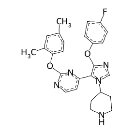 Cc1ccc(Oc2nccc(-c3c(Oc4ccc(F)cc4)ncn3C3CCNCC3)n2)c(C)c1